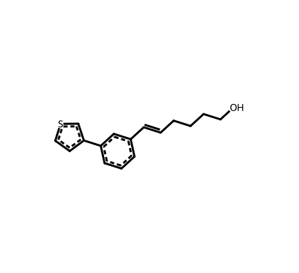 OCCCCC=Cc1cccc(-c2ccsc2)c1